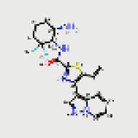 C=Cc1sc(C(=O)N[C@@H]2[C@H](N)CCCC2(F)F)nc1-c1cnn2ccccc12